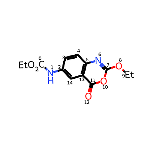 CCOC(=O)Nc1ccc2nc(OCC)oc(=O)c2c1